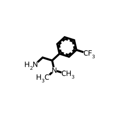 CN(C)C(CN)c1cccc(C(F)(F)F)c1